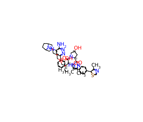 Cc1cc([C@@H](C(=O)N2C[C@H](O)C[C@H]2C(=O)N[C@@H](C)c2ccc(-c3scnc3C)cc2)[C@H](C)COCCCCN2C3CCC2CN(c2cc(-c4ccccc4O)nnc2N)C3)on1